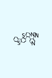 c1ccc2c(c1)sc1ccc3c(sc4ccc5c(c6ccncc6c6nccn56)c43)c12